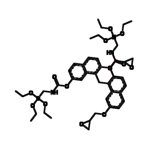 CCO[Si](CNC(=O)Oc1ccc2ccc(OCC3CO3)c(Cc3c(OC(=O)NC[Si](OCC)(OCC)OCC)ccc4ccc(OCC5CO5)cc34)c2c1)(OCC)OCC